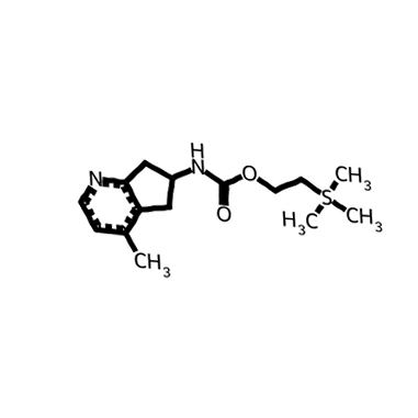 Cc1ccnc2c1CC(NC(=O)OCCS(C)(C)C)C2